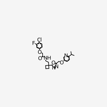 CC(C)c1ccc(OCc2nnc(C3(CCNC(=O)COc4ccc(Cl)c(F)c4)CCC3)o2)cn1